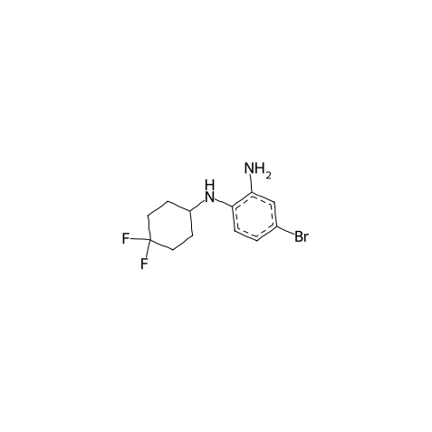 Nc1cc(Br)ccc1NC1CCC(F)(F)CC1